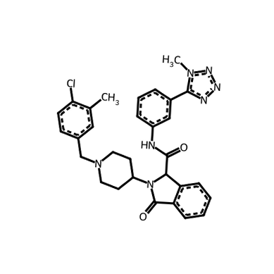 Cc1cc(CN2CCC(N3C(=O)c4ccccc4C3C(=O)Nc3cccc(-c4nnnn4C)c3)CC2)ccc1Cl